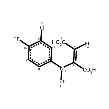 CCC(C(=O)O)=C(C(=O)O)N(CC)c1ccc(F)c(Cl)c1